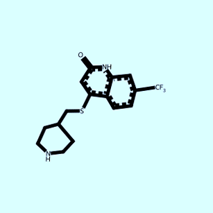 O=c1cc(SCC2CCNCC2)c2ccc(C(F)(F)F)cc2[nH]1